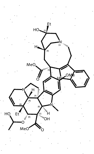 CC[C@]1(O)C[C@@H]2C[N@@](CCc3c([nH]c4ccccc34)[C@@](C(=O)OC)(c3cc4c(cc3OC)N(C)[C@H]3[C@@](O)(C(=O)OC)[C@H](OC(C)O)[C@]5(CC)C=CCN6CC[C@]43[C@@H]65)C2)C1